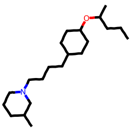 CCCC(C)OC1CCC(CCCCN2CCCC(C)C2)CC1